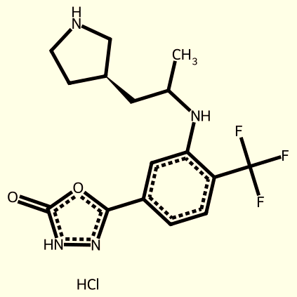 CC(C[C@H]1CCNC1)Nc1cc(-c2n[nH]c(=O)o2)ccc1C(F)(F)F.Cl